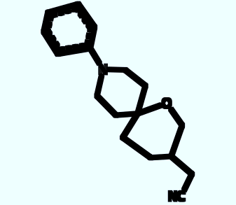 N#CCC1CCC2(CCN(c3ccccc3)CC2)OC1